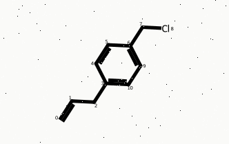 C=CCc1ccc(CCl)cc1